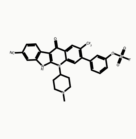 CN1CCC(n2c3cc(-c4cccc(OS(=O)(=O)F)c4)c(C(F)(F)F)cc3c(=O)c3c4ccc(C#N)cc4[nH]c32)CC1